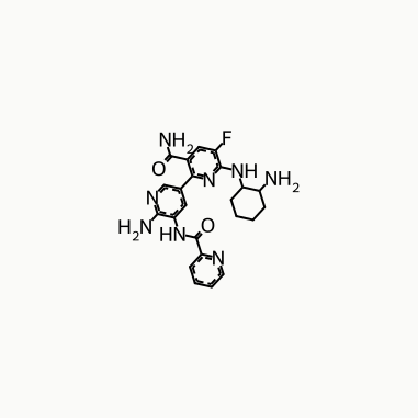 NC(=O)c1cc(F)c(NC2CCCCC2N)nc1-c1cnc(N)c(NC(=O)c2ccccn2)c1